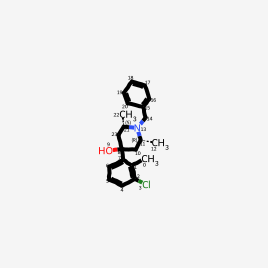 Cc1c(Cl)cccc1C1(O)C[C@@H](C)N(Cc2ccccc2)[C@@H](C)C1